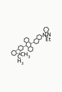 CCc1nc2ccccc2n1-c1ccc2cc(-c3c4ccccc4c(-c4ccc5c(c4)C(C)(C)c4ccccc4-5)c4ccccc34)ccc2c1